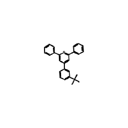 CC(C)(C)c1cccc(-c2cc(-c3ccccc3)nc(-c3ccccc3)c2)c1